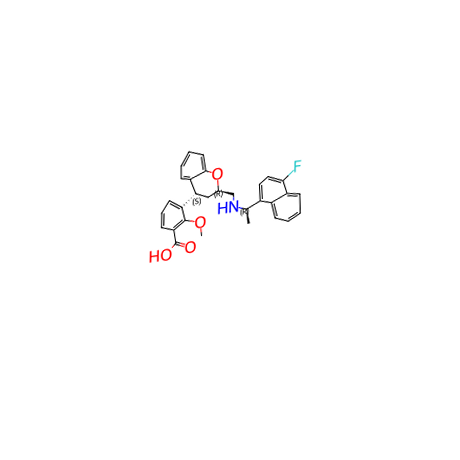 COc1c(C(=O)O)cccc1[C@H]1C[C@H](CN[C@H](C)c2ccc(F)c3ccccc23)Oc2ccccc21